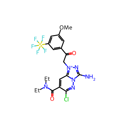 CCN(CC)C(=O)c1cc2n(nc1Cl)c(N)n[n+]2CC(=O)c1cc(OC)cc(S(F)(F)(F)(F)F)c1